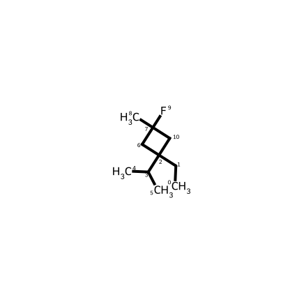 CCC1(C(C)C)CC(C)(F)C1